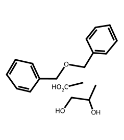 CC(=O)O.CC(O)CO.c1ccc(COCc2ccccc2)cc1